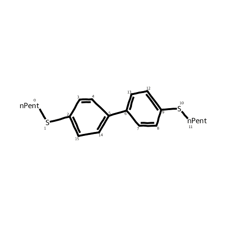 CCCCCSc1ccc(-c2ccc(SCCCCC)cc2)cc1